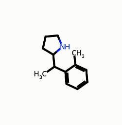 Cc1ccccc1C(C)C1CCCN1